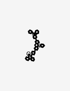 O=c1c2ccccc2c2ccccc2n1-c1ccc(-c2ccc3c(c2)Cc2cc(-c4ccc5c(c4)c4ccccc4n5-c4ccccc4)ccc2N3c2ccccc2)cc1